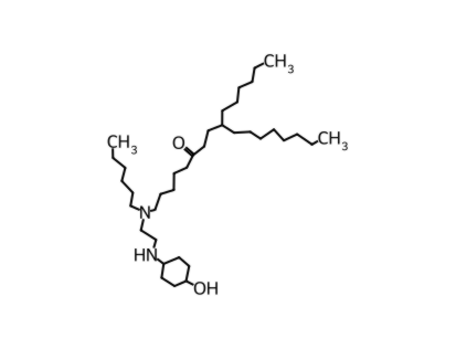 CCCCCCCCC(CCCCCC)CCC(=O)CCCCCN(CCCCCC)CCNC1CCC(O)CC1